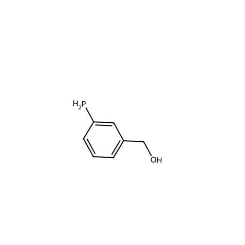 OCc1cccc(P)c1